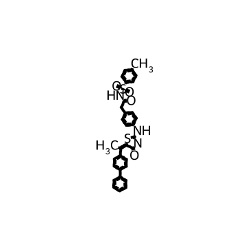 CC(=C1SC(Nc2ccc(CC(=O)NS(=O)(=O)c3ccc(C)cc3)cc2)=NC1=O)c1ccc(-c2ccccc2)cc1